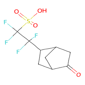 O=C1CC2CC1CC2C(F)(F)C(F)(F)S(=O)(=O)O